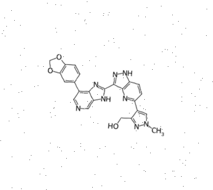 Cn1cc(-c2ccc3[nH]nc(-c4nc5c(-c6ccc7c(c6)OCO7)cncc5[nH]4)c3n2)c(CO)n1